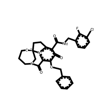 O=C(NCc1cccc(Cl)c1F)c1c2n3c(c(OCc4ccccc4)c1=O)C(=O)N1CCCC[C@]3(CC2)C1